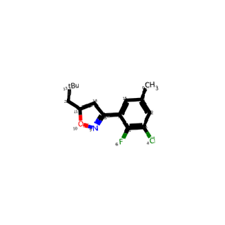 Cc1cc(Cl)c(F)c(C2=NOC(CC(C)(C)C)C2)c1